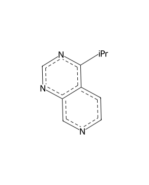 CC(C)c1ncnc2cnccc12